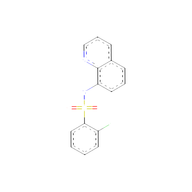 O=S(=O)(Nc1cccc2cccnc12)c1ccccc1Cl